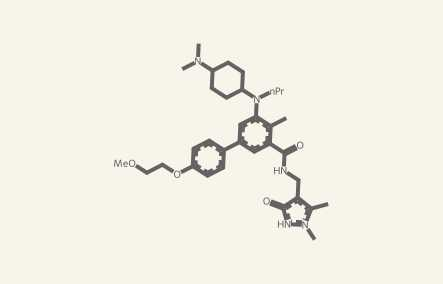 CCCN(c1cc(-c2ccc(OCCOC)cc2)cc(C(=O)NCc2c(C)n(C)[nH]c2=O)c1C)C1CCC(N(C)C)CC1